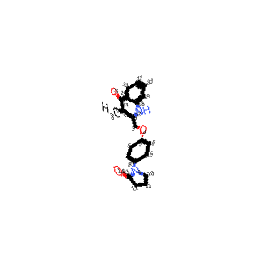 Cc1c(CO[C@H]2CC[C@H](N3CCCC3=O)CC2)[nH]c2ccccc2c1=O